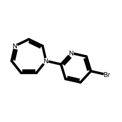 Brc1ccc(N2C=CC=NC=C2)nc1